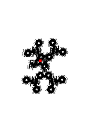 Cc1cc(-c2cc(-n3c4ccc(-c5nc(-c6ccccc6)nc(-c6ccccc6)n5)cc4c4cc(-c5nc(-c6ccccc6)nc(-c6ccccc6)n5)ccc43)ncc2-n2c3ccc(-c4nc(-c5ccccc5)nc(-c5ccccc5)n4)cc3c3cc(-c4nc(-c5ccccc5)nc(-c5ccccc5)n4)ccc32)cc(C(F)(F)F)c1